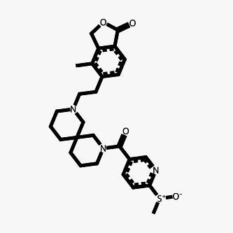 Cc1c(CCN2CCCC3(CCCN(C(=O)c4ccc([S+](C)[O-])nc4)C3)C2)ccc2c1COC2=O